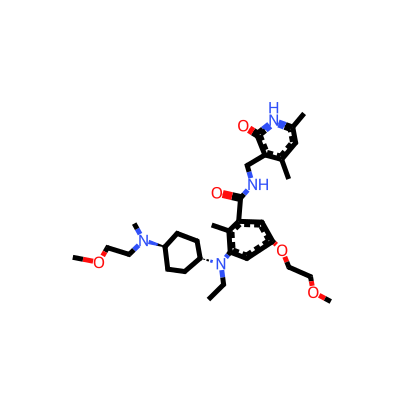 CCN(c1cc(OCCOC)cc(C(=O)NCc2c(C)cc(C)[nH]c2=O)c1C)[C@H]1CC[C@H](N(C)CCOC)CC1